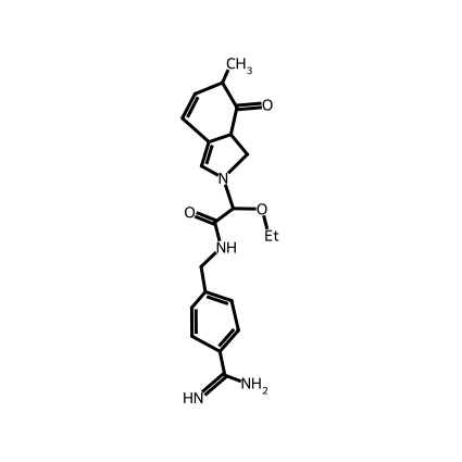 CCOC(C(=O)NCc1ccc(C(=N)N)cc1)N1C=C2C=CC(C)C(=O)C2C1